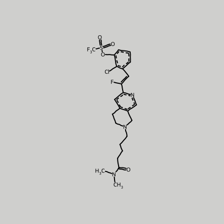 CN(C)C(=O)CCCCN1CCc2cc(C(F)=Cc3cccc(OS(=O)(=O)C(F)(F)F)c3Cl)ncc2C1